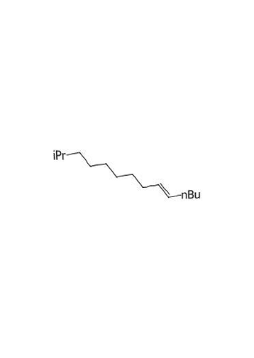 CCCCC=CCCCCCCC(C)C